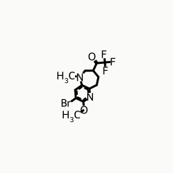 COc1nc2c(cc1Br)N(C)CC(C(=O)C(F)(F)F)CC2